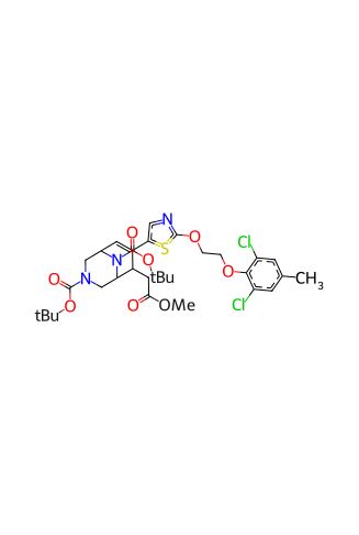 COC(=O)CC1C(c2cnc(OCCOc3c(Cl)cc(C)cc3Cl)s2)=CC2CN(C(=O)OC(C)(C)C)CC1N2C(=O)OC(C)(C)C